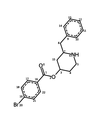 O=C(OC1CCNC(Cc2ccccc2)C1)c1ccc(Br)cc1